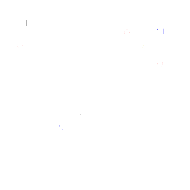 CCOc1ccc(C2(c3ccc(S(N)(=O)=O)cc3)C=C(C)C=N2)cc1